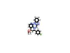 CCOC1C=C(c2ccc(F)cc2)N(Cc2nc3ccccc3[nH]2)c2ccccc21